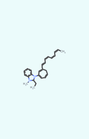 C\C=C/C=C\C=C/C=C/C1=CC(N2c3ccccc3N(C)C2CC)=CC=CC1